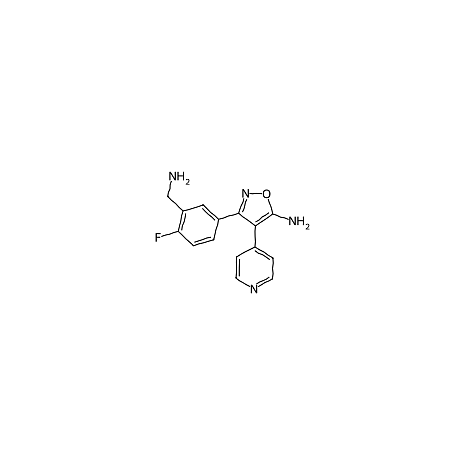 NCc1cc(-c2noc(N)c2-c2ccncc2)ccc1F